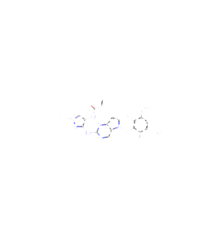 C=CC(=O)Nc1cn(C)nc1Nc1ncc2c(ccn2Cc2c(Cl)c(OC)cc(OC)c2Cl)n1